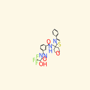 O=C(NCC1(c2nc(-c3ccccc3)cs2)CCOCC1)c1cccc(-c2noc(C(O)C(F)(F)F)n2)c1